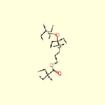 CCC(C)[Si](C)(C)OC(CC)(CC)[Si](C)(C)CCCOC(=O)C(C)(CC)CC